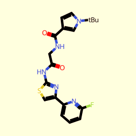 CC(C)(C)n1ccc(C(=O)NCC(=O)Nc2nc(-c3cccc(F)n3)cs2)c1